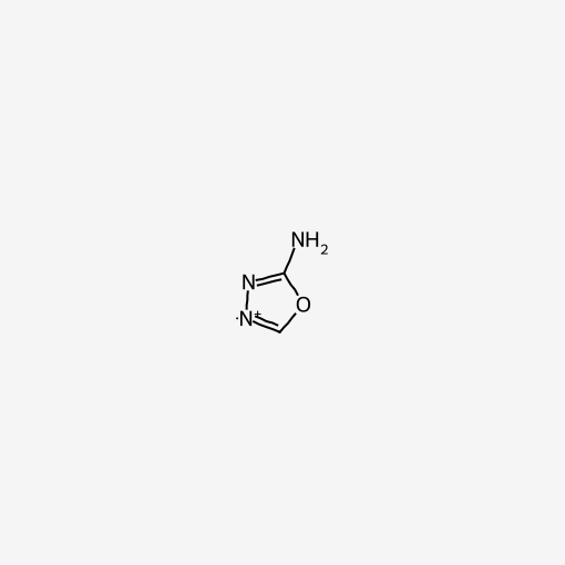 NC1=N[N+]=CO1